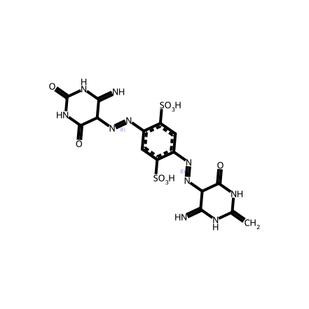 C=C1NC(=N)C(/N=N/c2cc(S(=O)(=O)O)c(/N=N/C3C(=N)NC(=O)NC3=O)cc2S(=O)(=O)O)C(=O)N1